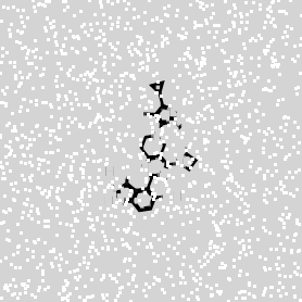 Cc1ccc2[nH]nc(C)c2c1-c1nc2c(c(N3CC[C@@H]3C)n1)CN(c1c(Cl)c(C3CC3)nn1C)CC2